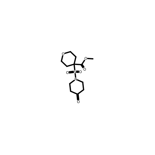 COC(=O)C1(S(=O)(=O)N2CCC(=O)CC2)CCOCC1